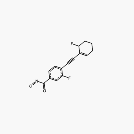 O=NC(=O)c1ccc(C#CC2=CCCCC2F)c(F)c1